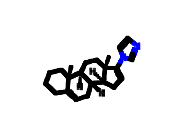 C[C@]12CCCCC1=CC[C@@H]1[C@@H]2CC[C@]2(C)C(n3ccnc3)=CC[C@@H]12